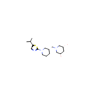 CC(C)c1cnc(N2CCC[C@H](CN3C[C@H](O)[C@@H](O)[C@H](O)[C@H]3C)C2)s1